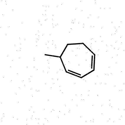 CC1C=CC=CCC1